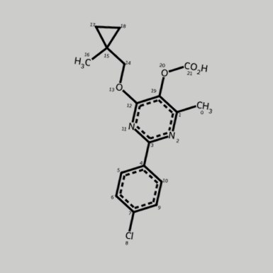 Cc1nc(-c2ccc(Cl)cc2)nc(OCC2(C)CC2)c1OC(=O)O